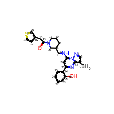 Bc1cnn2c(NCC3CCCN(C(=O)Cc4ccsc4)C3)cc(-c3ccccc3O)nc12